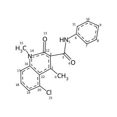 Cc1c(C(=O)Nc2ccccc2)c(=O)n(C)c2cccc(Cl)c12